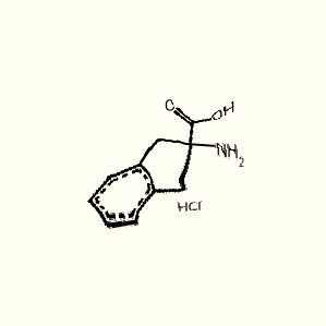 Cl.NC1(C(=O)O)Cc2ccccc2C1